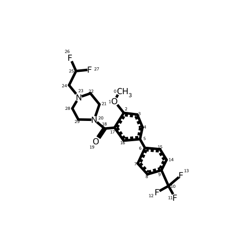 COc1ccc(-c2ccc(C(F)(F)F)cc2)cc1C(=O)N1CCN(CC(F)F)CC1